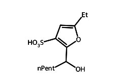 CCCCCC(O)c1oc(CC)cc1S(=O)(=O)O